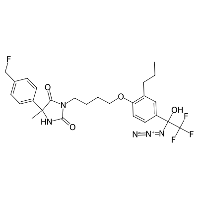 CCCc1cc(C(O)(N=[N+]=[N-])C(F)(F)F)ccc1OCCCCN1C(=O)NC(C)(c2ccc(CF)cc2)C1=O